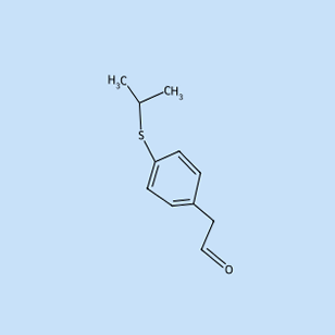 CC(C)Sc1ccc(CC=O)cc1